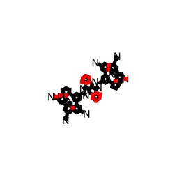 N#Cc1cccc(-c2cc(-c3nc(-c4ccccc4)c(-c4c(-c5ccccc5)nc(-c5cc(-c6cccc(C#N)c6)c(-n6c7ccc(C#N)cc7c7cc(C#N)ccc76)c(-c6cccc(C#N)c6)c5)nc4-c4ccccc4)c(-c4ccccc4)n3)cc(-c3cccc(C#N)c3)c2-n2c3ccccc3c3cc(C#N)ccc32)c1